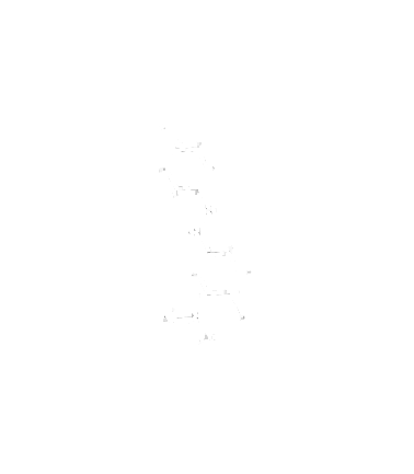 CC(=O)N(C(C)=O)c1cc(N=Nc2ccc(C)cc2)ccc1C